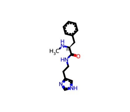 CN[C@@H](Cc1ccccc1)C(=O)NCCc1c[nH]cn1